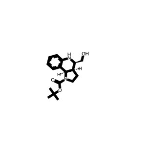 CC(C)(C)OC(=O)N1CC[C@@H]2[C@H](CO)Nc3ccccc3[C@@H]21